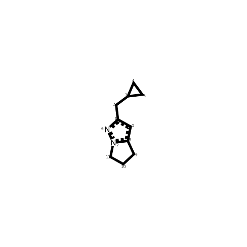 c1c(CC2CC2)nn2c1CCC2